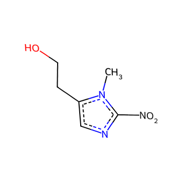 Cn1c(CCO)cnc1[N+](=O)[O-]